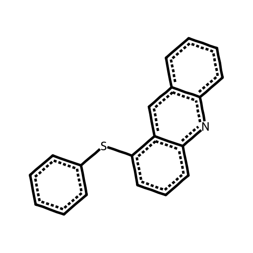 c1ccc(Sc2cccc3nc4ccccc4cc23)cc1